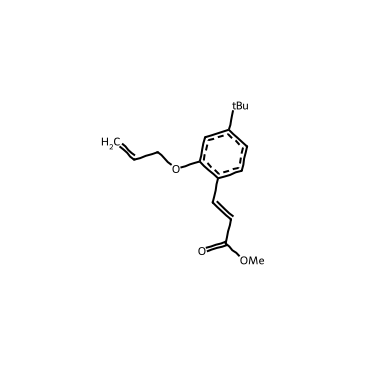 C=CCOc1cc(C(C)(C)C)ccc1C=CC(=O)OC